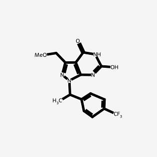 COCc1nn(C(C)c2ccc(C(F)(F)F)cc2)c2nc(O)[nH]c(=O)c12